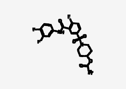 CC(C)C(=O)OC1CCN(S(=O)(=O)c2ccc(F)c(C(=O)Nc3ccc(F)c(F)c3)c2)CC1